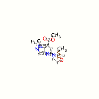 COC(=O)c1cc(N2CCOC[SH]2C)nc2cnn(C)c12